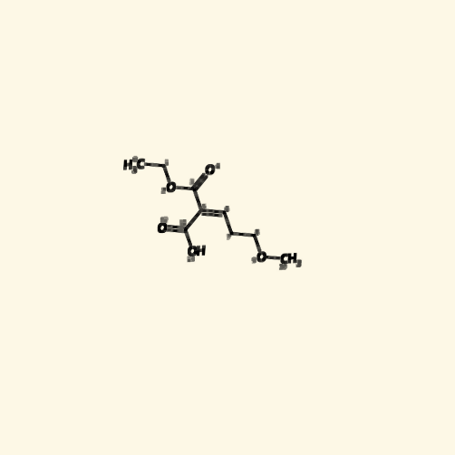 CCOC(=O)C(=CCCOC)C(=O)O